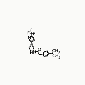 CC(C)c1ccc(CC(=O)NC2CCN(c3ccc(C(F)(F)F)nc3)C2)cc1